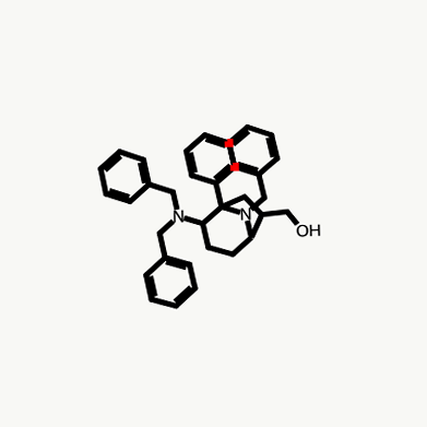 OCC1CC2(c3ccccc3)C(N(Cc3ccccc3)Cc3ccccc3)CCC1N2Cc1ccccc1